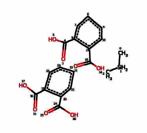 C[SiH2]C.O=C(O)c1ccccc1C(=O)O.O=C(O)c1ccccc1C(=O)O